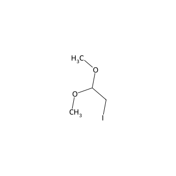 COC(CI)OC